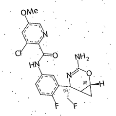 COc1cnc(C(=O)Nc2ccc(F)c([C@@]3(CF)N=C(N)O[C@@H]4CC43)c2)c(Cl)c1